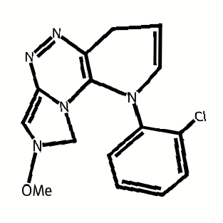 CON1C=C2N=NC3=C(N2C1)N(c1ccccc1Cl)C=CC3